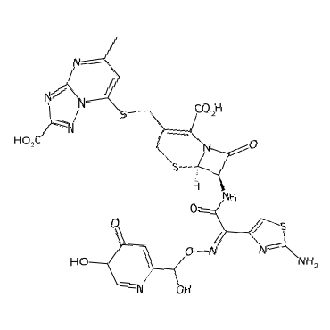 Cc1cc(SCC2=C(C(=O)O)N3C(=O)[C@@H](NC(=O)/C(=N\OC(O)C4=CC(=O)C(O)C=N4)c4csc(N)n4)[C@H]3SC2)n2nc(C(=O)O)nc2n1